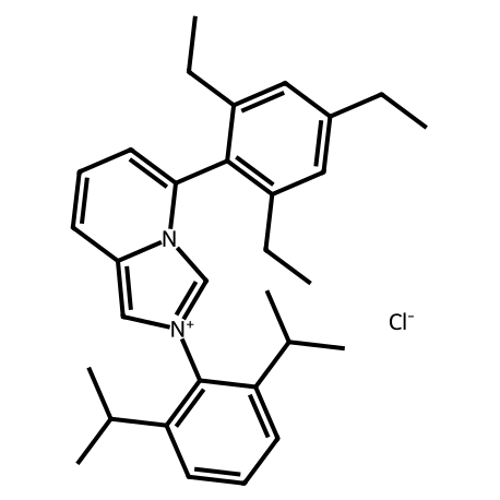 CCc1cc(CC)c(-c2cccc3c[n+](-c4c(C(C)C)cccc4C(C)C)cn23)c(CC)c1.[Cl-]